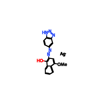 COc1cc(N=Nc2ccc3[nH]nnc3c2)c(O)c2ccccc12.[Ag]